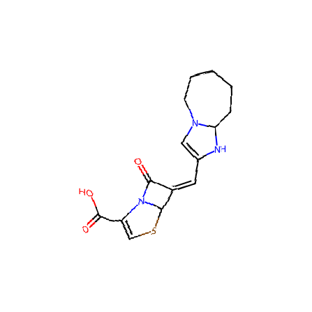 O=C(O)C1=CSC2C(=CC3=CN4CCCCCC4N3)C(=O)N12